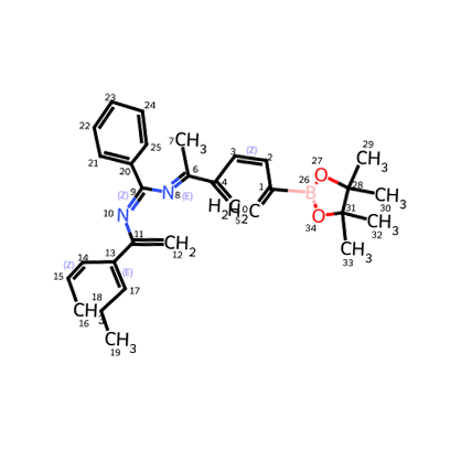 C=C(/C=C\C(=C)/C(C)=N/C(=N\C(=C)C(/C=C\C)=C/CC)c1ccccc1)B1OC(C)(C)C(C)(C)O1